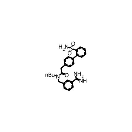 CCCCN(Cc1cccc(C(=N)N)c1)C(=O)Cc1ccc(-c2ccccc2S(N)(=O)=O)cc1